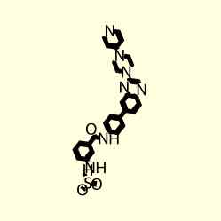 O=C(Nc1ccc(-c2ccc3ncc(N4CCN(c5ccncc5)CC4)nc3c2)cc1)c1cccc(NC[SH](=O)=O)c1